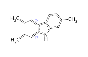 C=C/C=c1\c(=C/C=C)[nH]c2cc(C)ccc12